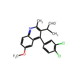 Cc1nc2ccc(OC(F)(F)F)cc2c(-c2ccc(Cl)c(Cl)c2)c1C(C)C=O